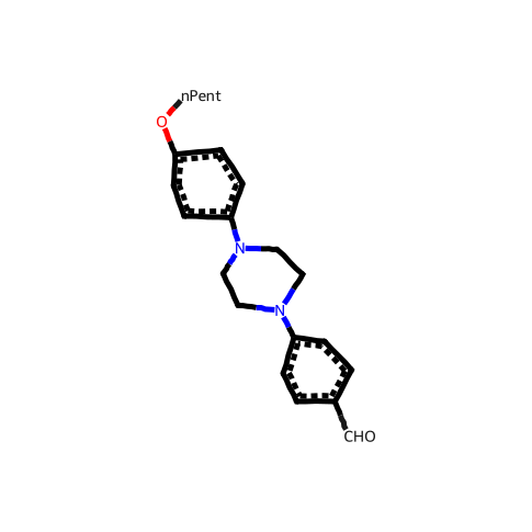 CCCCCOc1ccc(N2CCN(c3ccc(C=O)cc3)CC2)cc1